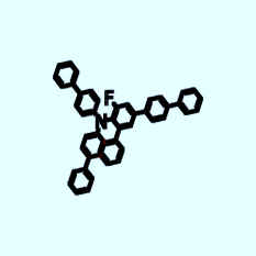 Fc1cc(-c2ccc(-c3ccccc3)cc2)cc(-c2ccccc2)c1N(c1ccc(-c2ccccc2)cc1)c1ccc(-c2ccccc2)cc1